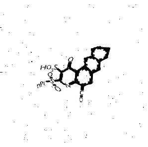 CCCS(=O)(=O)C1=C(S(=O)(=O)O)C(=O)c2c(c(=C=O)cc3cc4ccccc4cc23)=N1